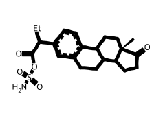 CCC(C(=O)OS(N)(=O)=O)c1ccc2c(c1)CCC1C2CC[C@]2(C)C(=O)CCC12